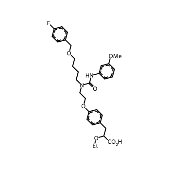 CCOC(Cc1ccc(OCCN(CCCCOCc2ccc(F)cc2)C(=O)Nc2cccc(OC)c2)cc1)C(=O)O